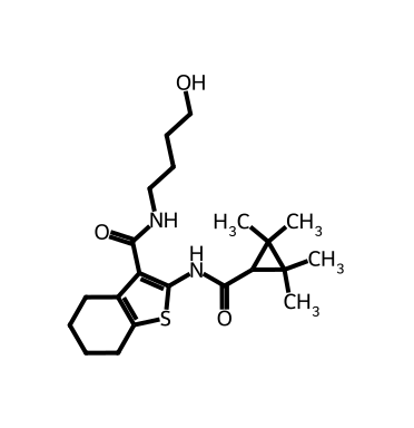 CC1(C)C(C(=O)Nc2sc3c(c2C(=O)NCCCCO)CCCC3)C1(C)C